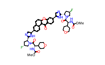 COC(=O)N[C@H](C(=O)N1C[C@H](F)C[C@H]1c1ncc(-c2ccc3c(ccc4oc5cc(-c6cnc([C@@H]7C[C@@H](F)CN7C(=O)[C@@H](NC(=O)OC)C7CCOCC7)[nH]6)ccc5c(=O)c43)c2)[nH]1)C1CCOCC1